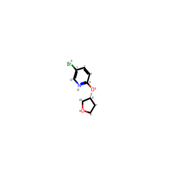 Brc1ccc(O[C@@H]2CCOC2)nc1